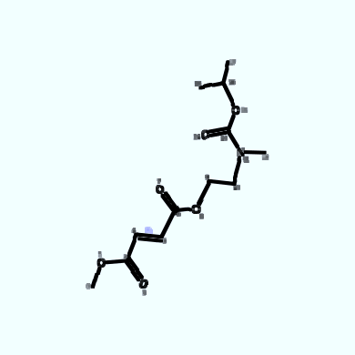 COC(=O)/C=C/C(=O)OCCN(C)C(=O)OC(C)C